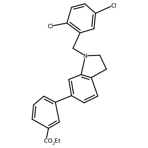 CCOC(=O)c1cccc(-c2ccc3c(c2)N(Cc2cc(Cl)ccc2Cl)CC3)c1